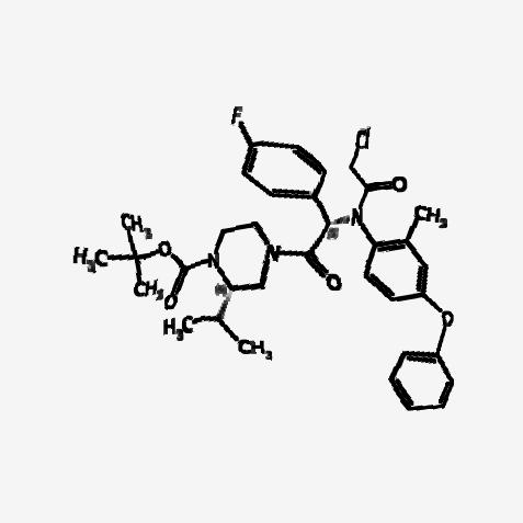 Cc1cc(Oc2ccccc2)ccc1N(C(=O)CCl)[C@H](C(=O)N1CCN(C(=O)OC(C)(C)C)[C@@H](C(C)C)C1)c1ccc(F)cc1